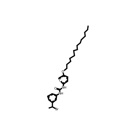 CCCCCCCCCCCCCCOc1ccc(NC(=O)Nc2cccc(C(C)Br)c2)cc1